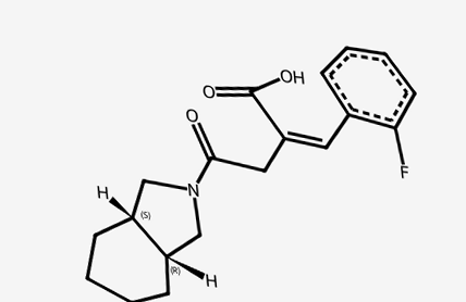 O=C(O)C(=Cc1ccccc1F)CC(=O)N1C[C@H]2CCCC[C@H]2C1